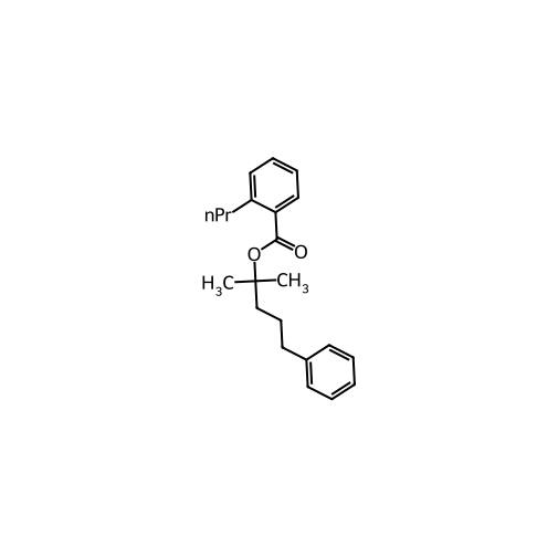 CCCc1ccccc1C(=O)OC(C)(C)CCCc1ccccc1